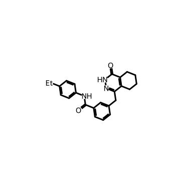 CCc1ccc(NC(=O)c2cccc(Cc3n[nH]c(=O)c4c3CCCC4)c2)cc1